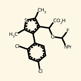 CCCC(F)OC(C(=O)O)c1c(C)sc(C)c1-c1ccc(Cl)cc1Cl